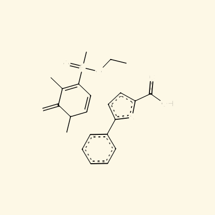 C=C1C(C)=C(P(C)(=O)OCC)C=CC1C.O=C(O)c1ccc(-c2ccccc2)s1